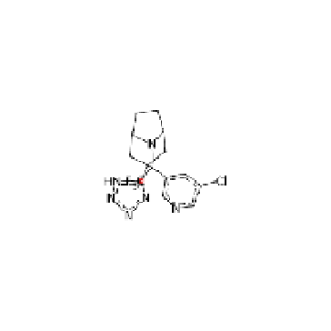 FC(F)(F)CN1C2CCC1CC(c1cncc(Cl)c1)(c1nnn[nH]1)C2